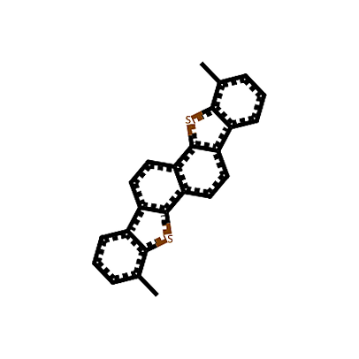 Cc1cccc2c1sc1c2ccc2c1ccc1c3cccc(C)c3sc12